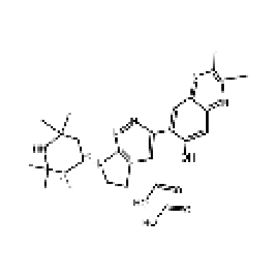 Cc1nc2cc(O)c(-c3cc4c(nn3)N([C@H]3CC(C)(C)NC(C)(C)[C@H]3F)CC4)cc2nc1C.O=CO.O=CO